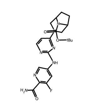 CC(C)(C)OC(=O)N1C2CCC1CN(c1ccnc(Nc3cnc(C(N)=O)c(F)c3)n1)C2